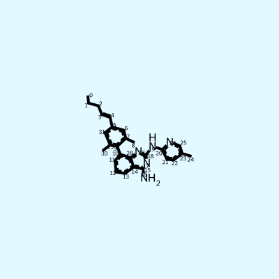 CCC/C=C/c1cc(C)c(-c2cccc3c(N)nc(Nc4ccc(C)cn4)nc23)c(C)c1